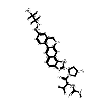 COC(=O)N[C@H](C(=O)N1C[C@@H](C)C[C@H]1c1nc2ccc3cc4c(cc3c2[nH]1)OCc1cc(BOC(C)(C)C(C)(C)O)ccc1-4)C(C)C